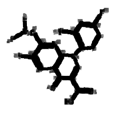 F[B]F.O=C(O)c1cn(-c2ccc(F)cc2F)c2nc(Cl)c(F)cc2c1=O